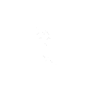 COc1cc(C)c2c(N3CCC(N(C)S(N)(=O)=O)CC3)nc(C)nn12